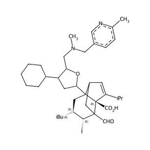 CC[C@@H](C)[C@H]1CC2(C3CC(C4CCCCC4)C(CN(C)Cc4ccc(C)nc4)O3)C3C=C(C(C)C)[C@]2(C(=O)O)C(C=O)(C3)[C@@H]1I